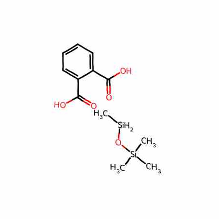 C[SiH2]O[Si](C)(C)C.O=C(O)c1ccccc1C(=O)O